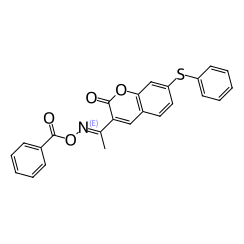 C/C(=N\OC(=O)c1ccccc1)c1cc2ccc(Sc3ccccc3)cc2oc1=O